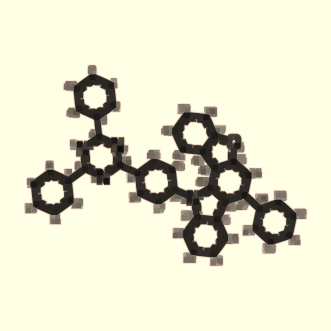 c1ccc(-c2nc(-c3ccccc3)nc(-c3ccc(-n4c5ccccc5c5c(-c6ccccc6)cc6oc7ccccc7c6c54)cc3)n2)cc1